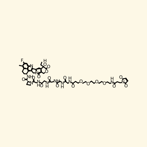 CC[C@]1(O)C(=O)OCc2c1cc1n(c2=O)Cc2c-1nc1cc(F)c(C)c3c1c2[C@H](NC(=O)[C@@H]1CCN1C(=O)CNC(=O)CNC(=O)CNC(=O)CNC(=O)CNC(=O)CCOCCOCCOCCOCCNC(=O)CCN1C(=O)C=CC1=O)CC3